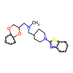 CN(CC1CCN(c2nc3ccccc3s2)CC1)CC1COc2ccccc2O1